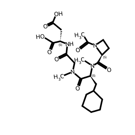 CC(=O)N1CC[C@H]1C(=O)N(C)[C@@H](CC1CCCCC1)C(=O)N(C)CC(=O)N[C@@H](CC(=O)O)C(=O)O